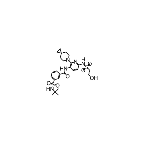 CC(C)(C)NS(=O)(=O)c1cccc(C(=O)Nc2ccc(NS(=O)(=O)CCO)nc2N2CCC3(CC2)CC3)c1